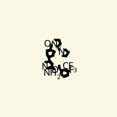 CC(Oc1cc(-c2ccc(C(=O)N3CCC[C@H]3CN3CCCC3)cc2)cnc1N)c1cccc(F)c1C(F)(F)F